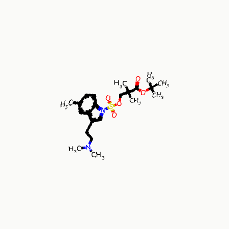 Cc1ccc2c(c1)c(CCN(C)C)cn2S(=O)(=O)OCC(C)(C)C(=O)OC(C)(C)C